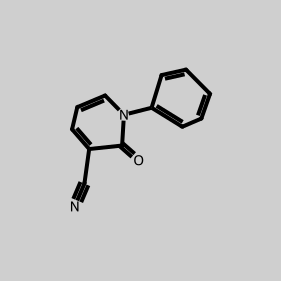 N#Cc1cccn(-c2ccccc2)c1=O